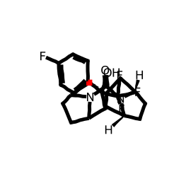 O=C(N1C2CCC1CC(O)(C(F)(F)F)C2)N1[C@@H]2CC[C@H]1C[C@@H](c1ccc(F)cc1)C2